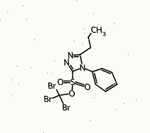 CCCc1nnc(S(=O)(=O)OC(Br)(Br)Br)n1-c1ccccc1